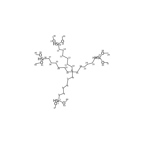 CO[SiH](CCCCCCC(CCCCCC[SiH](OC)OC)(CCCCCC[SiH](OC)OC)CCCCCC[SiH](OC)OC)OC